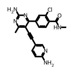 CNC(=O)c1ccc(-c2nc(N)nc(C)c2C#Cc2ccc(N)nc2)cc1Cl